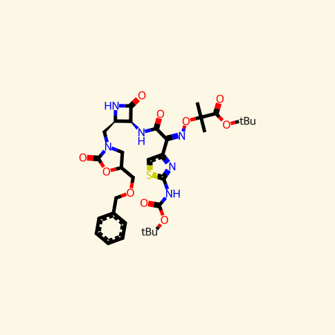 CC(C)(C)OC(=O)Nc1nc(/C(=N/OC(C)(C)C(=O)OC(C)(C)C)C(=O)N[C@@H]2C(=O)N[C@@H]2CN2CC(COCc3ccccc3)OC2=O)cs1